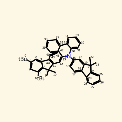 CC(C)(C)c1cc2c(c(C(C)(C)C)c1)C(C)(C)c1cc(N(c3ccc4c(c3)C(C)(C)c3ccccc3-4)c3ccccc3-c3ccccc3)ccc1-2